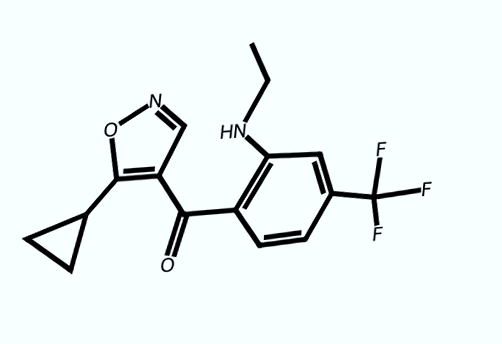 CCNc1cc(C(F)(F)F)ccc1C(=O)c1cnoc1C1CC1